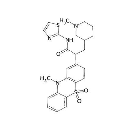 CN1CCCC(CC(C(=O)Nc2nccs2)c2ccc3c(c2)N(C)c2ccccc2S3(=O)=O)C1